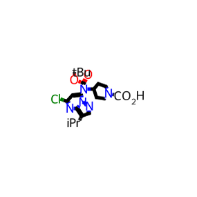 CC(C)c1cnn2c(N(C(=O)OC(C)(C)C)C3CCN(C(=O)O)CC3)cc(Cl)nc12